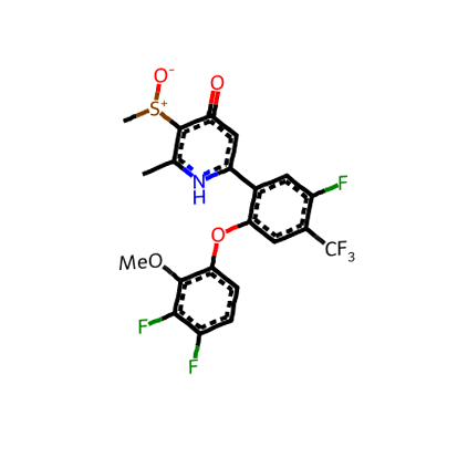 COc1c(Oc2cc(C(F)(F)F)c(F)cc2-c2cc(=O)c([S+](C)[O-])c(C)[nH]2)ccc(F)c1F